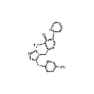 N#Cc1ccc(Cc2cncn2Cc2ccn(-c3ccccn3)c(=O)c2C(F)(F)F)cc1